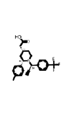 C#C[C@H](c1ccc(C(F)(F)F)cc1)N1CC[C@@H](CC(=O)O)C[C@H]1c1ccc(C)cc1